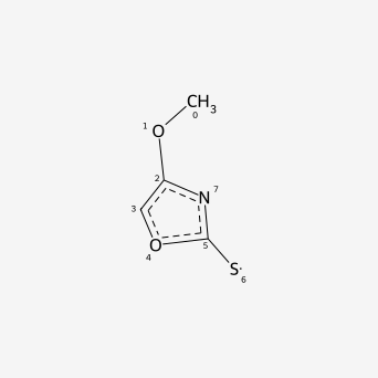 COc1coc([S])n1